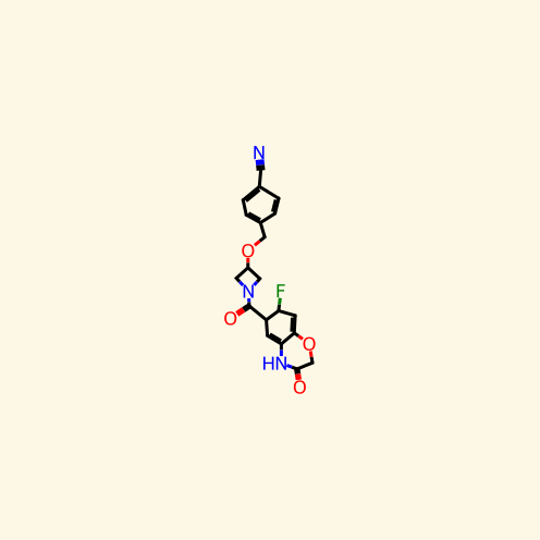 N#Cc1ccc(COC2CN(C(=O)C3C=C4NC(=O)COC4=CC3F)C2)cc1